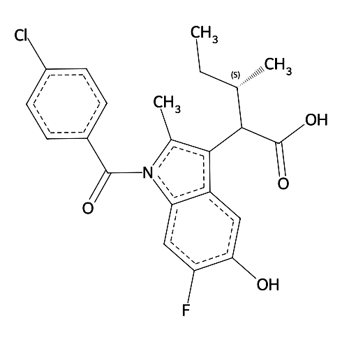 CC[C@H](C)C(C(=O)O)c1c(C)n(C(=O)c2ccc(Cl)cc2)c2cc(F)c(O)cc12